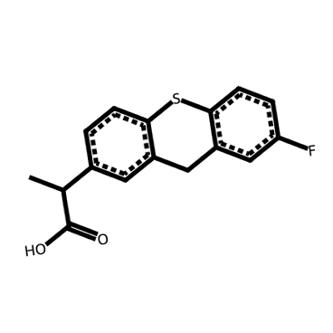 CC(C(=O)O)c1ccc2c(c1)Cc1cc(F)ccc1S2